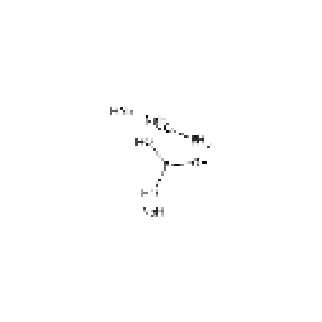 BC#N.OP(O)O.[NaH].[NaH].[NaH]